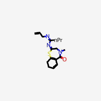 C=CC/N=C(CCC)\N=C1/CN(C)C(=O)C2=C(CCC=C2)S1